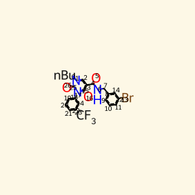 CCCCn1cc(C(=O)NCc2cccc(Br)c2)c(=O)n(-c2cccc(C(F)(F)F)c2)c1=O